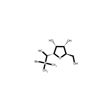 CC(C)(C)[Si](C)(C)C(C#N)[C@H]1O[C@H](CO)[C@@H](O)[C@H]1O